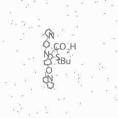 Cc1cccnc1-c1ccc(Cn2c(CC(C)(C)C(=O)O)c(SC(C)(C)C)c3cc(OCc4ccc5ccccc5n4)ccc32)cc1